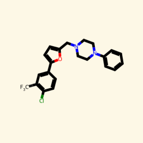 FC(F)(F)c1cc(-c2ccc(CN3CCN(c4ccccc4)CC3)o2)ccc1Cl